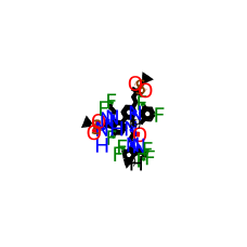 CC(C)(CCc1ccc(-c2ccc(F)c3c(NS(=O)(=O)C4CC4)nn(CC(F)F)c23)c([C@H](Cc2cc(F)cc(F)c2)NC(=O)Cn2nc(C(F)(F)F)c3c2C(F)(F)C2C[C@H]32)n1)S(=O)(=O)C1CC1